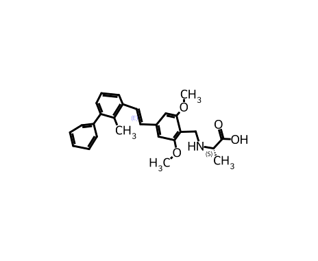 COc1cc(/C=C/c2cccc(-c3ccccc3)c2C)cc(OC)c1CN[C@@H](C)C(=O)O